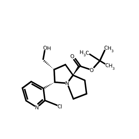 CC(C)(C)OC(=O)[C@@]12CCCN1[C@H](c1cccnc1Cl)[C@H](CO)C2